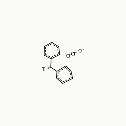 [Cl-].[Cl-].[Cl-].[Ti+3][CH](c1ccccc1)c1ccccc1